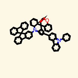 C1=CC2Oc3ccccc3C3(c4cc(-c5ccc6c(c5)c5ccccc5n6-c5ccccc5)ccc4N(c4ccc5c(c4)C4(c6ccccc6-c6ccccc64)c4ccccc4-5)C4C=CC=CC43)C2C=C1